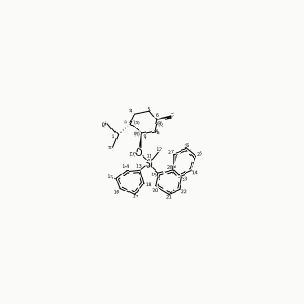 CC(C)[C@@H]1CC[C@@H](C)C[C@H]1O[Si](C)(c1ccccc1)c1cccc2ccccc12